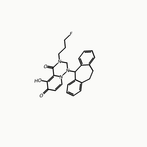 O=C1c2c(O)c(=O)ccn2N(C2c3ccccc3CCc3ccccc32)CN1CCCF